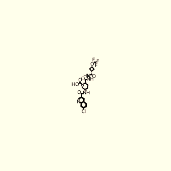 O=C(N[C@H]1CC[C@H](C(=O)NNC(=O)[C@H]2C[C@@H](OC(F)(F)F)C2)N(C(=O)O)C1)c1cnc2cc(Cl)ccc2c1